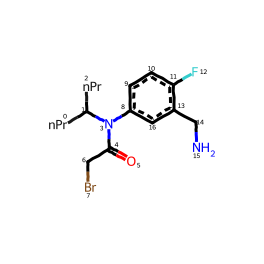 CCCC(CCC)N(C(=O)CBr)c1ccc(F)c(CN)c1